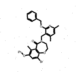 Cc1cc(C)c(CN2CCOc3c(Br)cc(OC(C)C)c(C)c3C2=O)c(OCc2ccccc2)n1